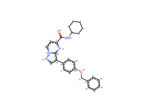 O=C(NC1CCCCC1)c1ccn2ncc(-c3ccc(OCc4ccccc4)cc3)c2n1